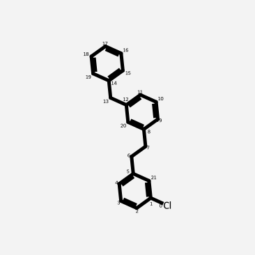 Clc1cccc(CCc2[c]ccc(Cc3ccccc3)c2)c1